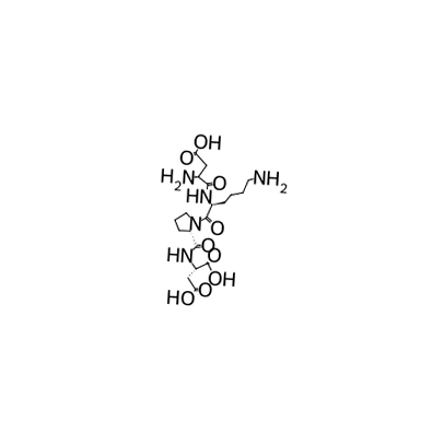 NCCCC[C@H](NC(=O)[C@@H](N)CC(=O)O)C(=O)N1CCC[C@H]1C(=O)N[C@@H](CC(=O)O)C(=O)O